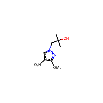 COc1nn(CC(C)(C)O)cc1[N+](=O)[O-]